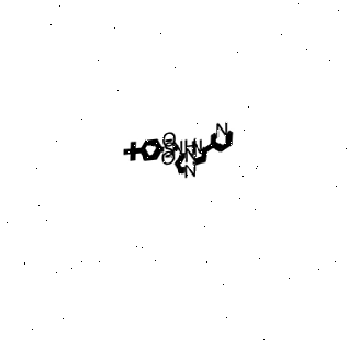 CC(C)(C)c1ccc(S(=O)(=O)Nc2ccnc3cc(-c4cccnc4)nn23)cc1